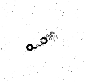 CC(C)(C)[Si](C)(C)O[C@@H]1CC[C@@H](COCc2ccccc2)OC1